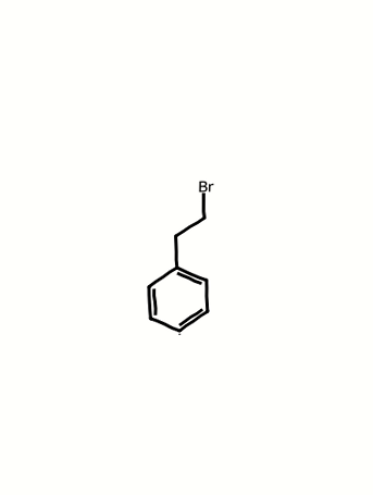 BrCCc1cc[c]cc1